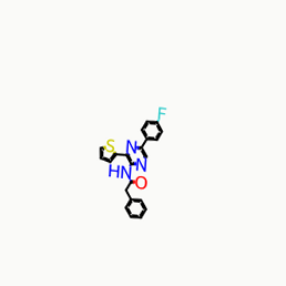 O=C(Cc1ccccc1)Nc1ncc(-c2ccc(F)cc2)nc1-c1cccs1